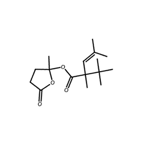 CC(C)=CC(C)(C(=O)OC1(C)CCC(=O)O1)C(C)(C)C